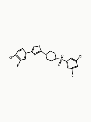 O=S(=O)(c1cc(Cl)cc(Cl)c1)N1CCN(c2nc(-c3ccc(Cl)c(F)c3)cs2)CC1